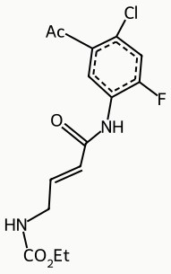 CCOC(=O)NCC=CC(=O)Nc1cc(C(C)=O)c(Cl)cc1F